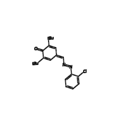 CC(C)(C)C1=CC(=CN=Nc2ccccc2Cl)C=C(C(C)(C)C)C1=O